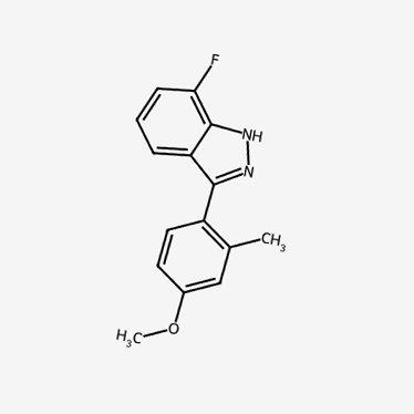 COc1ccc(-c2n[nH]c3c(F)cccc23)c(C)c1